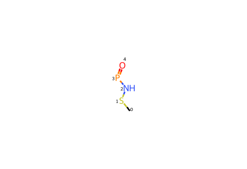 CSNP=O